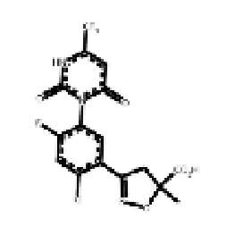 CC1(C(=O)O)CC(c2cc(-n3c(=O)cc(C(F)(F)F)[nH]c3=O)c(F)cc2Cl)=NO1